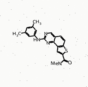 CNC(=O)c1cc2c(ccc3cnc(Nc4cc(C)cc(C)c4)nc32)s1